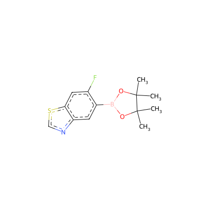 CC1(C)OB(c2cc3ncsc3cc2F)OC1(C)C